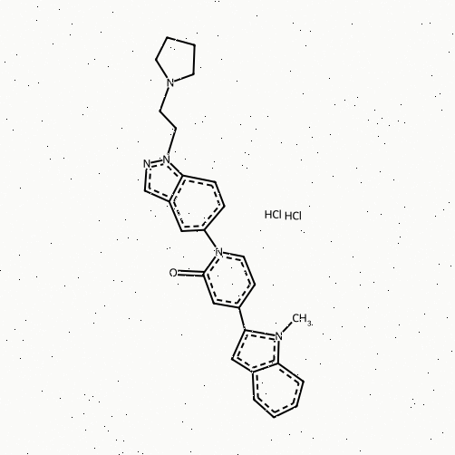 Cl.Cl.Cn1c(-c2ccn(-c3ccc4c(cnn4CCN4CCCC4)c3)c(=O)c2)cc2ccccc21